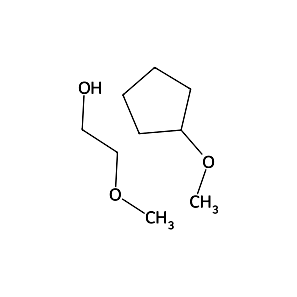 COC1CCCC1.COCCO